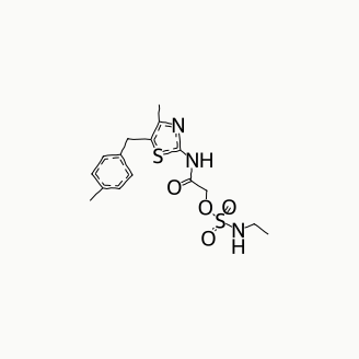 CCNS(=O)(=O)OCC(=O)Nc1nc(C)c(Cc2ccc(C)cc2)s1